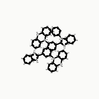 c1ccc(-n2c(-c3cc(N4c5ccccc5Oc5ccccc54)c4cc(-c5nc6ccccc6s5)cc(N5c6ccccc6Oc6ccccc65)c4c3)nc3ccccc32)cc1